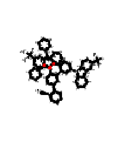 N#Cc1ccccc1-c1ccc(-n2c3ccccc3c3cc(C(F)(F)F)ccc32)c(-c2cc(-n3c4ccccc4c4cc(C(F)(F)F)ccc43)ccc2-c2nc(-c3ccccc3)nc(-c3ccccc3)n2)c1